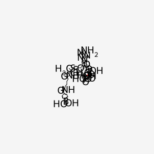 CC(C)(CNC(=O)CCCCNC(=O)c1ccc(B(O)O)cc1)SSCOC1C[C@H](n2cnc3c(N)ncnc32)O[C@@H]1COP(=O)(O)OP(=O)(O)OP(=O)(O)O